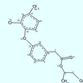 COCC(C)OC(=O)Cc1cccc(Oc2ccc(C(F)(F)F)cc2Cl)c1